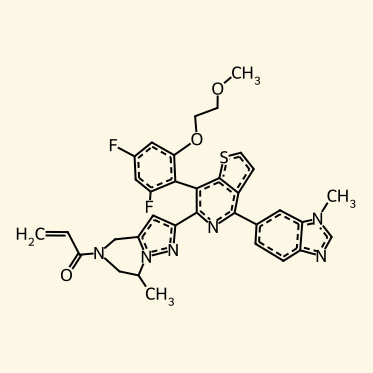 C=CC(=O)N1Cc2cc(-c3nc(-c4ccc5ncn(C)c5c4)c4ccsc4c3-c3c(F)cc(F)cc3OCCOC)nn2C(C)C1